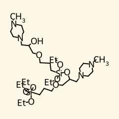 CCO[Si](CCCOCC(CN1CCN(C)CC1)O[Si](CCCOCC(O)CN1CCN(C)CC1)(OCC)OCC)(OCC)OCC